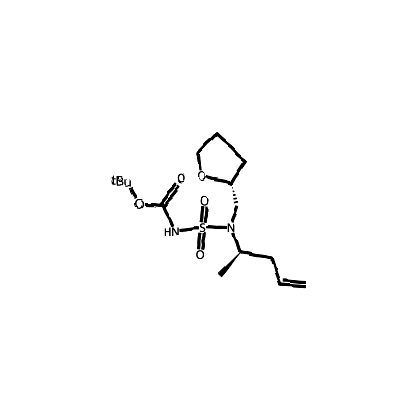 C=CC[C@@H](C)N(C[C@H]1CCCO1)S(=O)(=O)NC(=O)OC(C)(C)C